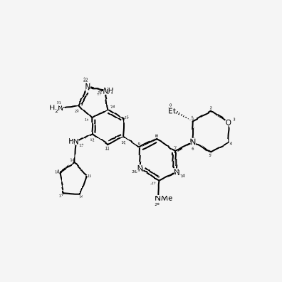 CC[C@@H]1COCCN1c1cc(-c2cc(NC3CCCC3)c3c(N)n[nH]c3c2)nc(NC)n1